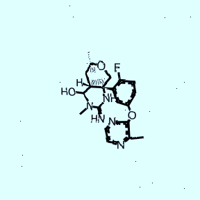 Cc1nccnc1Oc1ccc(F)c([C@]23CO[C@@H](C)C[C@H]2C(O)N(C)C(=N)N3)c1